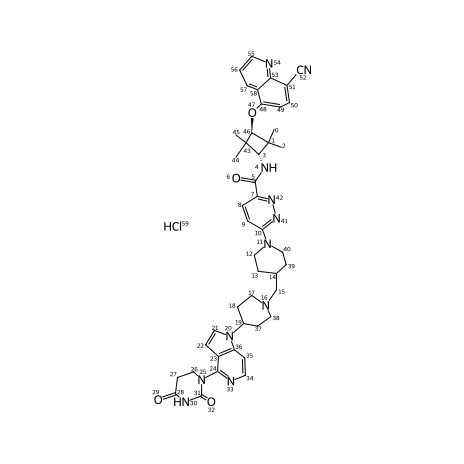 CC1(C)[C@H](NC(=O)c2ccc(N3CCC(CN4CCC(n5ccc6c(N7CCC(=O)NC7=O)nccc65)CC4)CC3)nn2)C(C)(C)[C@H]1Oc1ccc(C#N)c2ncccc12.Cl